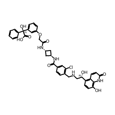 O=C(COc1cccc([C@](O)(C(=O)O)c2ccccc2)c1)N[C@H]1C[C@H](NC(=O)c2ccc(CNC[C@H](O)c3ccc(O)c4[nH]c(=O)ccc34)c(Cl)c2)C1